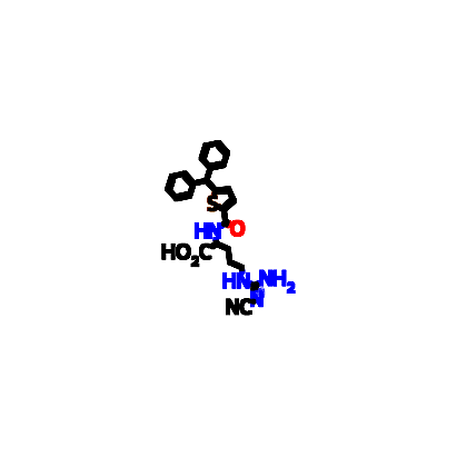 N#C/N=C(/N)NCCCC(NC(=O)c1ccc(C(c2ccccc2)c2ccccc2)s1)C(=O)O